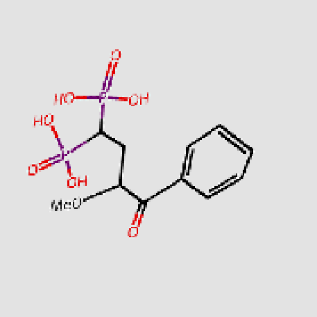 COC(CC(P(=O)(O)O)P(=O)(O)O)C(=O)c1ccccc1